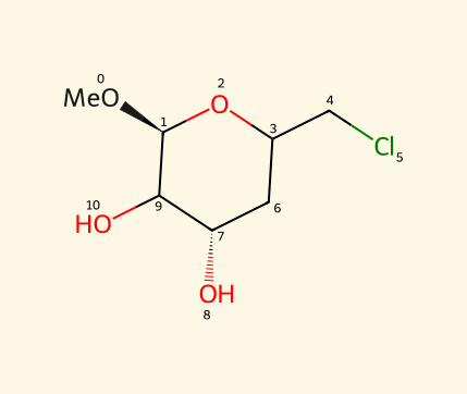 CO[C@H]1OC(CCl)C[C@H](O)C1O